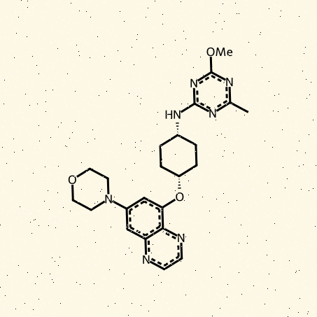 COc1nc(C)nc(N[C@H]2CC[C@@H](Oc3cc(N4CCOCC4)cc4nccnc34)CC2)n1